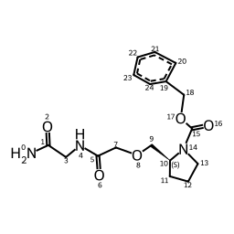 NC(=O)CNC(=O)COC[C@@H]1CCCN1C(=O)OCc1ccccc1